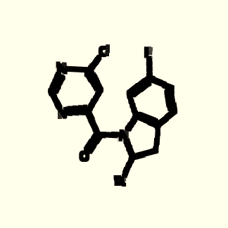 CCC1Cc2ccc(F)cc2N1C(=O)c1cc(Cl)ncn1